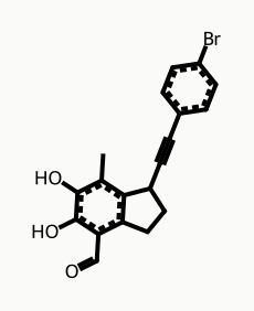 Cc1c(O)c(O)c(C=O)c2c1C(C#Cc1ccc(Br)cc1)CC2